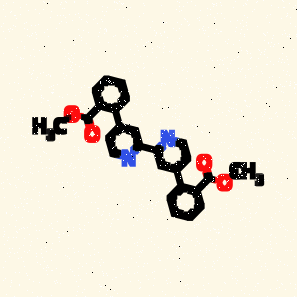 COC(=O)c1ccccc1-c1ccnc(-c2cc(-c3ccccc3C(=O)OC)ccn2)c1